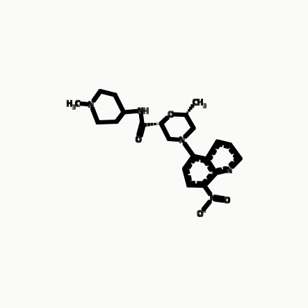 C[C@@H]1CN(c2ccc([N+](=O)[O-])c3ncccc23)C[C@H](C(=O)NC2CCN(C)CC2)O1